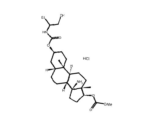 CCC(CO)NC(=O)O[C@H]1CC[C@@]2(C)[C@H](CC[C@@H]3[C@@H]2CC[C@]2(C)[C@@H](OC(=O)OC)CC[C@]32N)C1.Cl